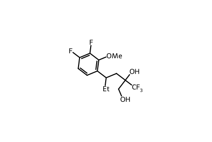 CCC(CC(O)(CO)C(F)(F)F)c1ccc(F)c(F)c1OC